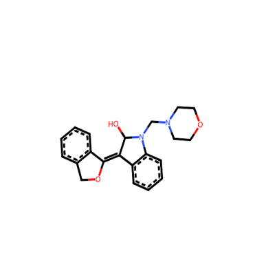 OC1C(=C2OCc3ccccc32)c2ccccc2N1CN1CCOCC1